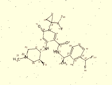 C[C@@H](NC(=O)c1cn(C2(C(F)F)CC2)c(=O)cc1N[C@H]1CCN(C)C[C@@H]1F)c1cccc(C(F)F)c1F